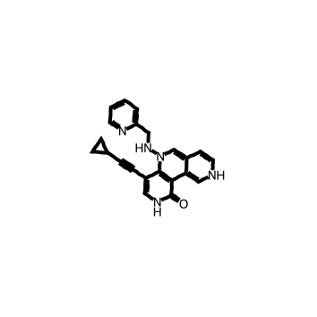 O=c1[nH]cc(C#CC2CC2)c2c1C1=CNC=CC1=CN2NCc1ccccn1